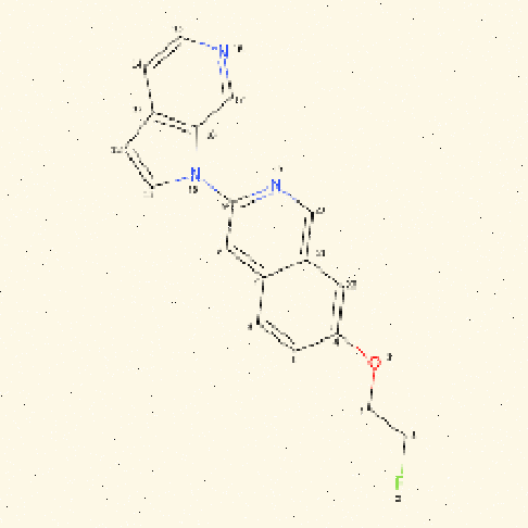 FCCOc1ccc2cc(-n3ccc4ccncc43)ncc2c1